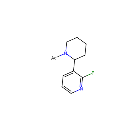 CC(=O)N1CCCCC1c1cccnc1F